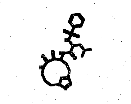 CC(C)CC(NS(=O)(=O)c1ccccc1)C(=O)NC1CCc2cnn(c2)CCCNC(=O)C1=O